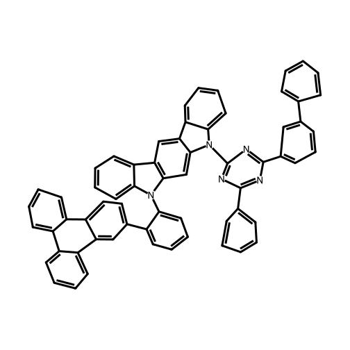 c1ccc(-c2cccc(-c3nc(-c4ccccc4)nc(-n4c5ccccc5c5cc6c7ccccc7n(-c7ccccc7-c7ccc8c9ccccc9c9ccccc9c8c7)c6cc54)n3)c2)cc1